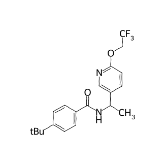 CC(NC(=O)c1ccc(C(C)(C)C)cc1)c1ccc(OCC(F)(F)F)nc1